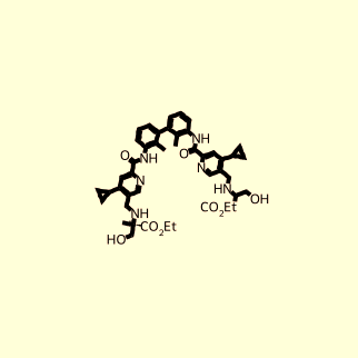 CCOC(=O)C(CO)NCc1cnc(C(=O)Nc2cccc(-c3cccc(NC(=O)c4cc(C5CC5)c(CN[C@](C)(CO)C(=O)OCC)cn4)c3C)c2C)cc1C1CC1